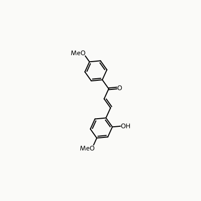 COc1ccc(C(=O)C=Cc2ccc(OC)cc2O)cc1